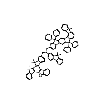 CC1(C)c2ccccc2-c2ccc(C(Cc3ccc4c(c3)C(C)(C)c3c5c(c6oc7ccccc7c6c3-4)-c3ccccc3C5(C)C)Cc3ccc4c(c3)C(c3ccccc3)(c3ccccc3)c3cc5c(cc3-4)C(c3ccccc3)(c3ccccc3)c3ccc4oc6ccccc6c4c3-5)cc21